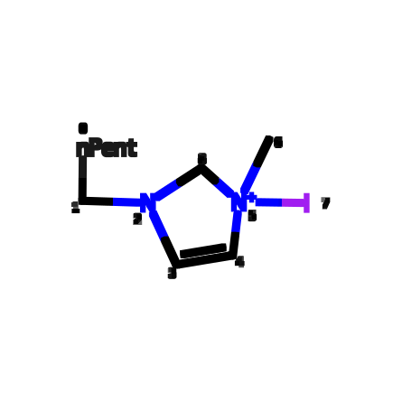 CCCCCCN1C=C[N+](C)(I)C1